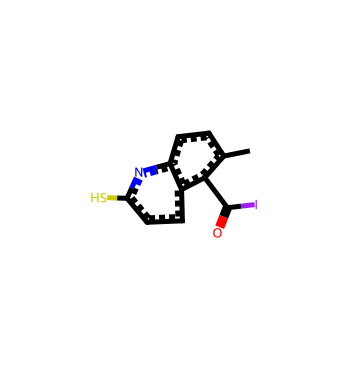 Cc1ccc2nc(S)ccc2c1C(=O)I